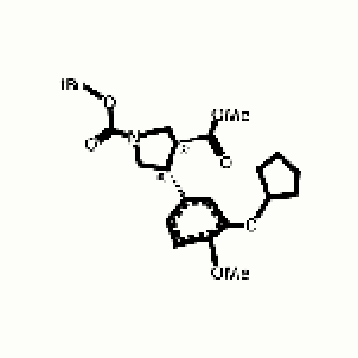 COC(=O)[C@@H]1CN(C(=O)OC(C)(C)C)C[C@H]1c1ccc(OC)c(OC2CCCC2)c1